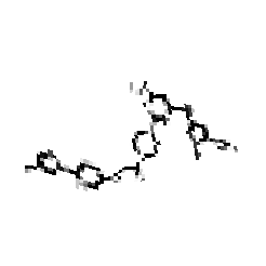 Cc1cc(Nc2cc(C)[nH]n2)nc(N2CCN(C(=O)COc3ccc(-n4cc(F)cn4)nc3)CC2)n1